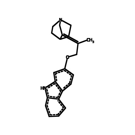 CC(COc1ccc2c(c1)[nH]c1ccccc12)=C1CN2CCC1CC2